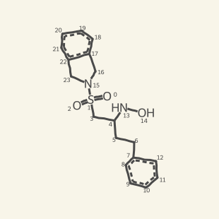 O=S(=O)(CC(CCc1ccccc1)NO)N1Cc2ccccc2C1